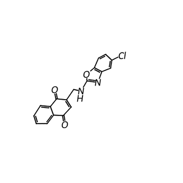 O=C1C=C(CNc2nc3cc(Cl)ccc3o2)C(=O)c2ccccc21